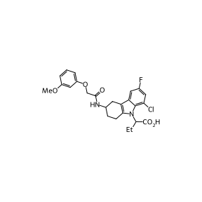 CCC(C(=O)O)n1c2c(c3cc(F)cc(Cl)c31)CC(NC(=O)COc1cccc(OC)c1)CC2